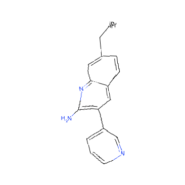 CC(C)Cc1ccc2cc(-c3cccnc3)c(N)nc2c1